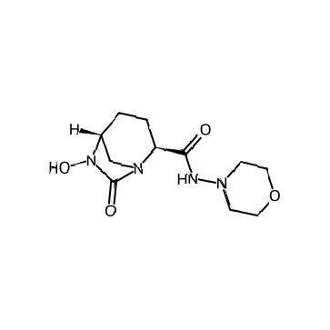 O=C(NN1CCOCC1)[C@@H]1CC[C@@H]2CN1C(=O)N2O